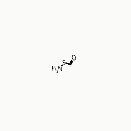 NS[C]=O